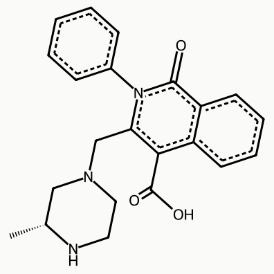 C[C@@H]1CN(Cc2c(C(=O)O)c3ccccc3c(=O)n2-c2ccccc2)CCN1